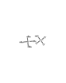 CCCC[N+](CCCC)(CCCC)CCCC.[O-][Cl+3]([O-])([O-])O